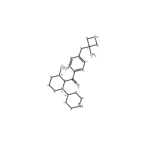 CC1(Cc2ccc(C(=O)C3C(C(=O)O)CCCN3C3CCNCC3)cc2)COC1